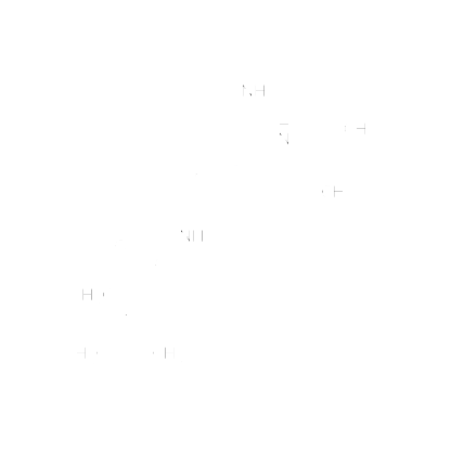 CC(C)N/C=C(\C=N)C1CC1NC(=O)CC(C)(C)C